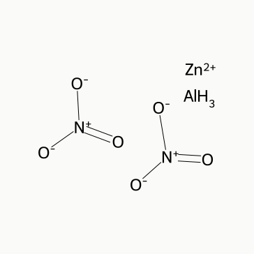 O=[N+]([O-])[O-].O=[N+]([O-])[O-].[AlH3].[Zn+2]